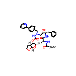 COC(=O)N[C@H](C(=O)N[C@@H](Cc1ccccc1)[C@@H](O)CN(Cc1ccc(-c2ccccn2)cc1)NC(=O)O[C@H]1CO[C@H]2OCC[C@H]21)C(C)(C)C